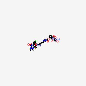 COC(=O)C[C@@H]1N=C(c2ccc(Cl)cc2)c2c(sc(C)c2C(=O)NCCCCCCCCNC(=O)COc2cccc3c2C(=O)N(C2CCC(=O)NC2=O)C3=O)-n2c(C)nnc21